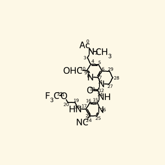 CC(=O)N(C)Cc1cc2c(nc1C=O)N(C(=O)Nc1cc(NCCOC(F)(F)F)c(C#N)cn1)CCC2